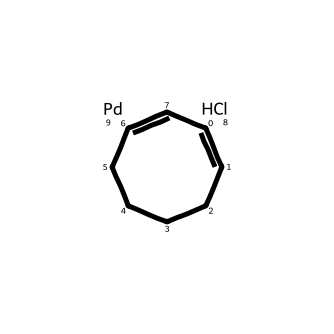 C1=C\CCCC\C=C/1.Cl.[Pd]